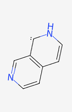 [C]1NC=Cc2ccncc21